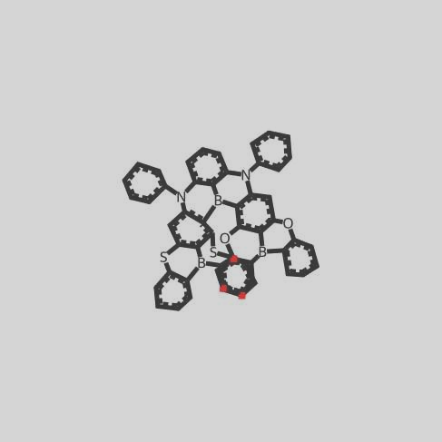 c1ccc(N2c3cccc4c3B(c3c2cc2c5c3Oc3ccccc3B5c3ccccc3O2)c2c(cc3c5c2Sc2ccccc2B5c2ccccc2S3)N4c2ccccc2)cc1